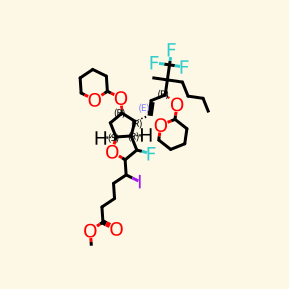 CCCCC(C)([C@@H](/C=C/[C@@H]1[C@H]2C(F)C(C(I)CCCC(=O)OC)O[C@H]2C[C@H]1OC1CCCCO1)OC1CCCCO1)C(F)(F)F